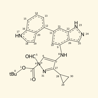 CC(C)(C)OC(=O)[N+]1(C=O)C=C(Nc2cc(-c3cccc4[nH]ccc34)cc3[nH]ncc23)C(C2CC2)=N1